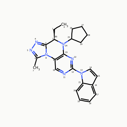 CC[C@@H]1c2nnc(C)n2-c2cnc(-n3ccc4ccccc43)nc2N1C1CCCC1